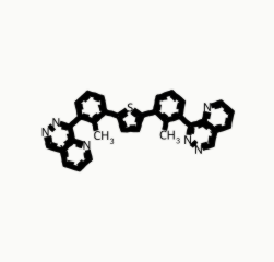 Cc1c(-c2ccc(-c3cccc(-c4nncc5cccnc45)c3C)s2)cccc1-c1nncc2cccnc12